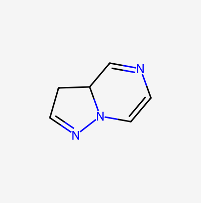 C1=CN2N=CCC2C=N1